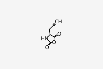 C#CCC1NC(=O)OC1=O